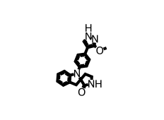 COc1n[nH]cc1-c1ccc(N2c3ccccc3CC23CCNC3=O)cc1